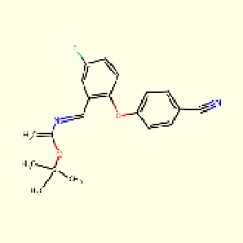 C=C(N=Cc1cc(F)ccc1Oc1ccc(C#N)cc1)O[Si](C)(C)C